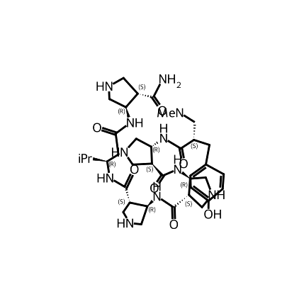 CNC[C@H](Cc1ccc(O)cc1)C(=O)N[C@H]1CNC[C@@H]1C(=O)N[C@H]1CNC[C@@H]1C(=O)N[C@H]1CNC[C@@H]1C(=O)N[C@H](CC(=O)N[C@H]1CNC[C@@H]1C(N)=O)C(C)C